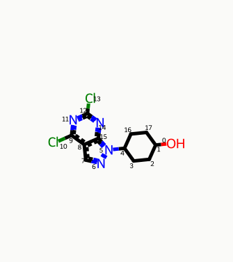 OC1CCC(n2ncc3c(Cl)nc(Cl)nc32)CC1